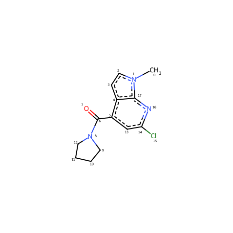 Cn1ccc2c(C(=O)N3CCCC3)cc(Cl)nc21